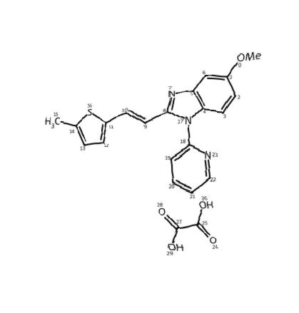 COc1ccc2c(c1)nc(C=Cc1ccc(C)s1)n2-c1ccccn1.O=C(O)C(=O)O